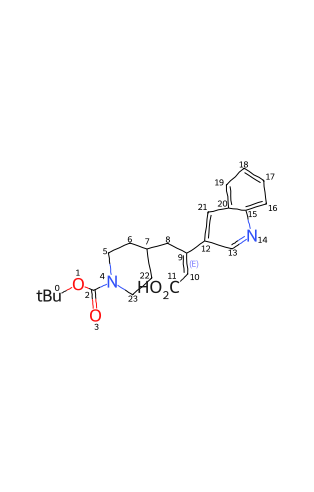 CC(C)(C)OC(=O)N1CCC(C/C(=C\C(=O)O)c2cnc3ccccc3c2)CC1